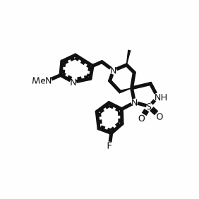 CNc1ccc(CN2CC[C@]3(CNS(=O)(=O)N3c3cccc(F)c3)C[C@@H]2C)cn1